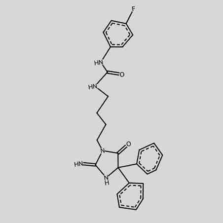 N=C1NC(c2ccccc2)(c2ccccc2)C(=O)N1CCCCNC(=O)Nc1ccc(F)cc1